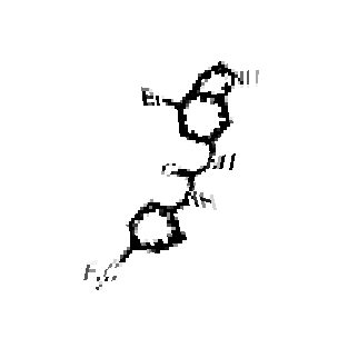 O=C(Nc1ccc(C(F)(F)F)cc1)Nc1cc(Br)c2cc[nH]c2c1